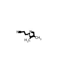 Cc1cnn(CCC#N)c1C